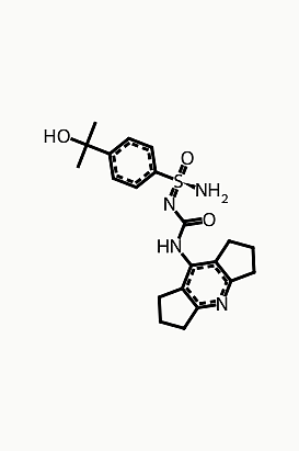 CC(C)(O)c1ccc([S@](N)(=O)=NC(=O)Nc2c3c(nc4c2CCC4)CCC3)cc1